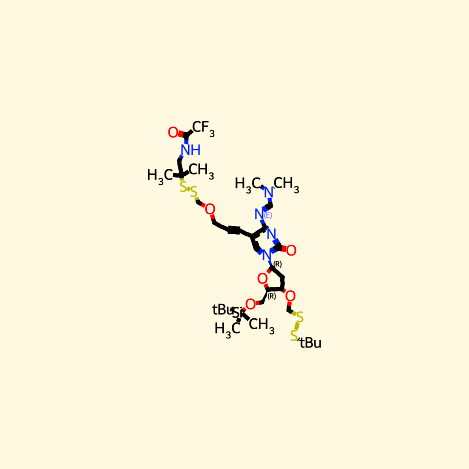 CN(C)/C=N/c1nc(=O)n([C@H]2CC(OCSSC(C)(C)C)[C@@H](CO[Si](C)(C)C(C)(C)C)O2)cc1C#CCOCSSC(C)(C)CNC(=O)C(F)(F)F